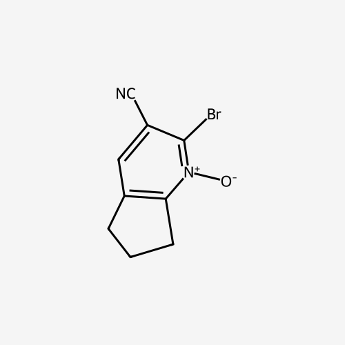 N#Cc1cc2c([n+]([O-])c1Br)CCC2